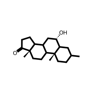 CC1CC[C@]2(C)C3CC[C@]4(C)C(=O)CCC4C3C[C@H](O)C2C1